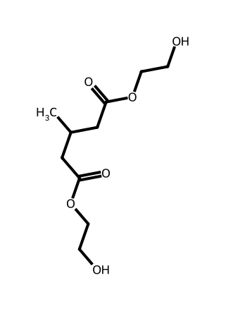 CC(CC(=O)OCCO)CC(=O)OCCO